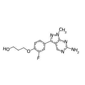 Cn1nc(-c2ccc(OCCCO)c(F)c2)c2cnc(N)nc21